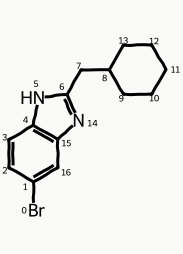 Brc1ccc2[nH]c(CC3CCCCC3)nc2c1